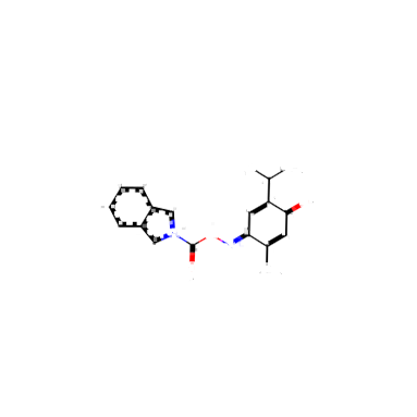 CC1=CC(=O)C(C(C)C)=C/C1=N\OC(=O)n1cc2ccccc2c1